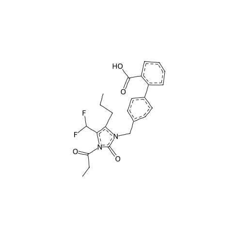 CCCc1c(C(F)F)n(C(=O)CC)c(=O)n1Cc1ccc(-c2ccccc2C(=O)O)cc1